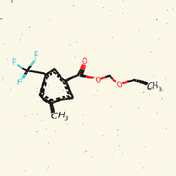 CCOCOC(=O)c1cc(C)cc(C(F)(F)F)c1